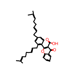 CC(C)=CCCC=CCc1ccc(-c2oc3ccccc3c(=O)c2C(=O)O)c(CC=CCCC=C(C)C)c1